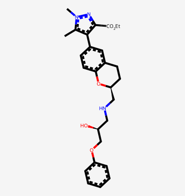 CCOC(=O)c1nn(C)c(C)c1-c1ccc2c(c1)CC[C@@H](CNC[C@H](O)COc1ccccc1)O2